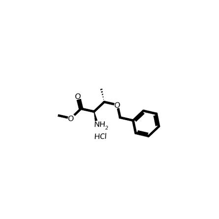 COC(=O)[C@H](N)[C@H](C)OCc1ccccc1.Cl